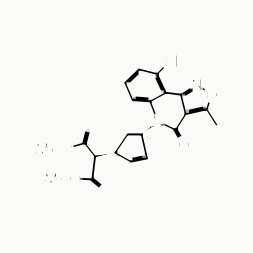 COC(=O)C(C(=O)OC)[C@@H]1C=C[C@H](n2c(=O)c3c(C)onc3c3c(Cl)cccc32)C1